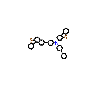 c1ccc(-c2ccc(N(c3ccc(-c4ccc5c(ccc6sc7ccccc7c65)c4)cc3)c3ccc4c(c3)sc3ccccc34)cc2)cc1